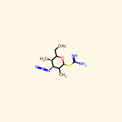 CC(=O)OCC1O[C@@H](SC(=N)N)C(C)[C@@H](N=[N+]=[N-])[C@H]1C